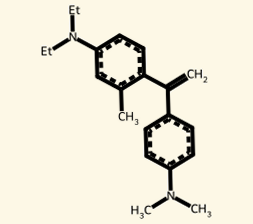 C=C(c1ccc(N(C)C)cc1)c1ccc(N(CC)CC)cc1C